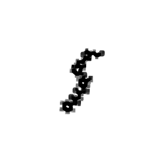 O=CCc1coc(-c2cc3nccc(Oc4ccc(NC(=O)CC(=O)Nc5ccccc5)cc4F)c3s2)n1